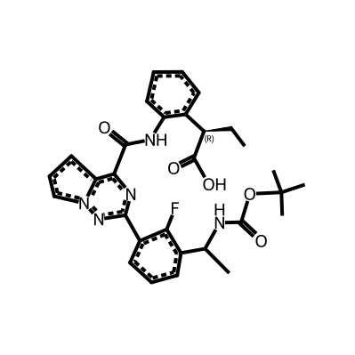 CC[C@@H](C(=O)O)c1ccccc1NC(=O)c1nc(-c2cccc(C(C)NC(=O)OC(C)(C)C)c2F)nn2cccc12